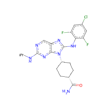 CC(C)Nc1ncc2nc(Nc3c(F)cc(Cl)cc3F)n([C@H]3CC[C@@H](C(N)=O)CC3)c2n1